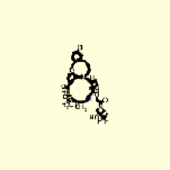 C[C@@H]1[C@@H](C)C/C=C/[C@H](OCC(=O)N2CC(O)(C(F)(F)F)C2)[C@@H]2CC[C@H]2CN2CCCCc3cc(Cl)ccc3COc3ccc(cc32)C(=O)NS1(=O)=O